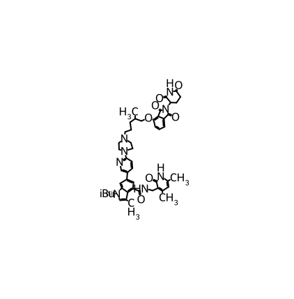 CC[C@H](C)n1cc(C)c2c(C(=O)NCc3c(C)cc(C)[nH]c3=O)cc(-c3ccc(N4CCN(CCCC(C)COc5cccc6c5C(=O)N(C5CCC(=O)NC5=O)C6=O)CC4)nc3)cc21